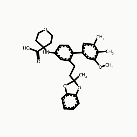 COc1cc(-c2ccc(NC3(C(=O)O)CCOCC3)cc2CCC2(C)Oc3ccccc3O2)cc(C)c1C